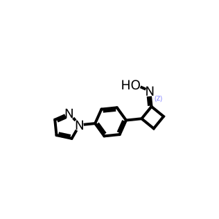 O/N=C1/CCC1c1ccc(-n2cccn2)cc1